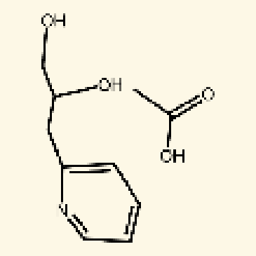 CC(=O)O.OCC(O)Cc1ccccn1